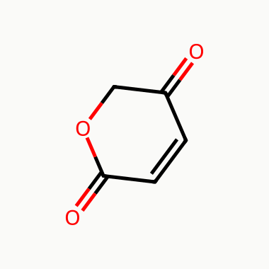 O=C1C=CC(=O)OC1